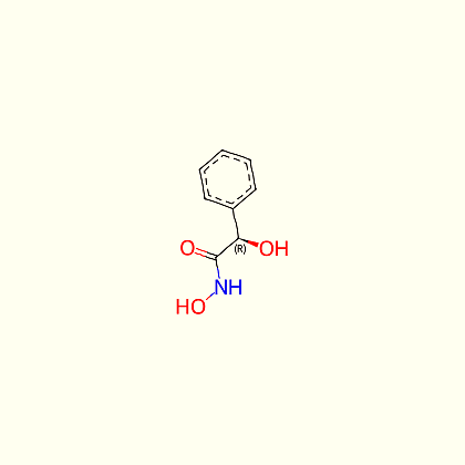 O=C(NO)[C@H](O)c1ccccc1